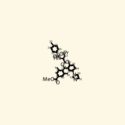 COC(=O)c1cc(C)c(C(OC(=O)C(CC(C)C)NS(=O)(=O)c2ccc(C)cc2)c2cc(-n3ccnc3)ccc2C)c(C)c1